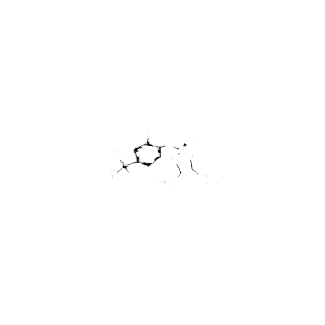 CCOP(=O)(OCC)Oc1ccc(C(F)(F)F)cc1F